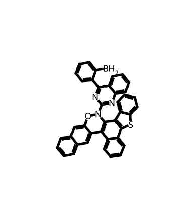 Bc1ccccc1-c1nc(N2Oc3cc4ccccc4cc3-c3c2c2c4ccccc4sc2c2ccccc32)nc2ccccc12